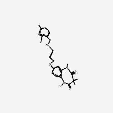 CCN1C(=O)C(C)(C)C(=O)N(C)c2cc(OCCCNCc3ccc(C)nc3C)ccc21